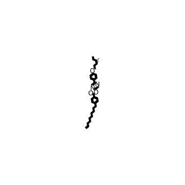 C=CCCCCCCCCc1ccc(C(=O)Oc2cnc(-c3ccc(OCCC[C@@H](C)CC)cc3)cn2)cc1